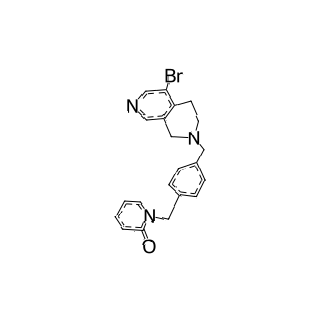 O=c1ccccn1Cc1ccc(CN2CCc3c(Br)cncc3C2)cc1